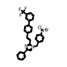 O=[N+]([O-])c1ccc(Cn2cc(-c3ccccc3)nc2C=Cc2ccc(-c3cccc(C(F)(F)F)c3)cc2)cc1